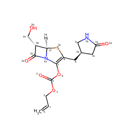 C=CCOC(=O)OC1=C(C[C@H]2CNC(=O)C2)S[C@@H]2[C@@H](CO)C(=O)N12